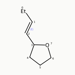 CC/C=C/C1CCCO1